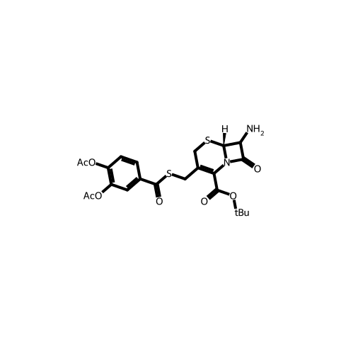 CC(=O)Oc1ccc(C(=O)SCC2=C(C(=O)OC(C)(C)C)N3C(=O)C(N)[C@H]3SC2)cc1OC(C)=O